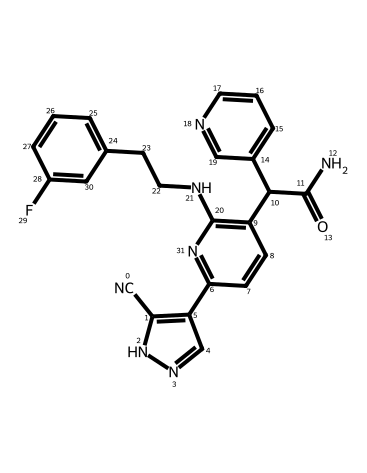 N#Cc1[nH]ncc1-c1ccc(C(C(N)=O)c2cccnc2)c(NCCc2cccc(F)c2)n1